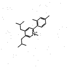 Cc1ccc(-c2cc(CC(C)C)c(CC(C)C)c[n+]2C)c(C)c1